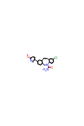 COc1ccc(-c2ccc3c(c2)/C=C\c2cc(Cl)ccc2N(C(N)=O)C3)cn1